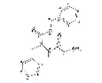 NCC(=O)NC(Cc1ccccc1)C(=O)OCc1ccccc1